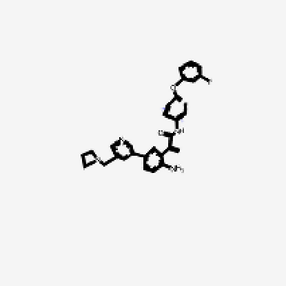 C=C(/C=C\C(=C/C)NC(=O)C(=C)c1cc(-c2cncc(CN3CCC3)c2)ccc1N)Oc1cccc(F)c1